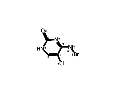 O=c1nc(NBr)c(Cl)c[nH]1